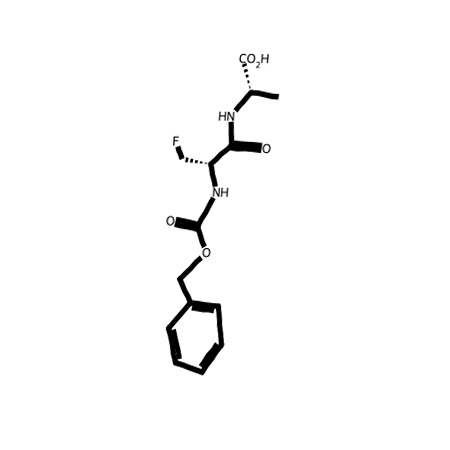 C[C@H](NC(=O)[C@@H](CF)NC(=O)OCc1ccccc1)C(=O)O